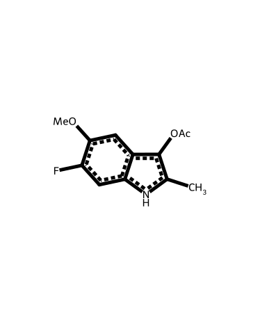 COc1cc2c(OC(C)=O)c(C)[nH]c2cc1F